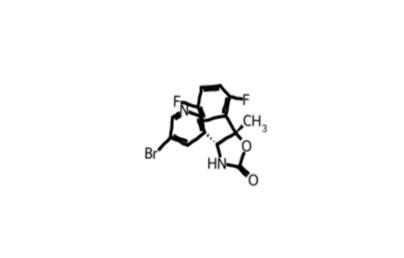 C[C@@]1(c2cc(F)ccc2F)OC(=O)N[C@@H]1c1cncc(Br)c1